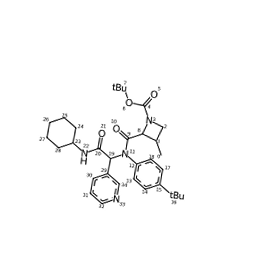 CC1CN(C(=O)OC(C)(C)C)C1C(=O)N(c1ccc(C(C)(C)C)cc1)C(C(=O)NC1CCCCC1)c1cccnc1